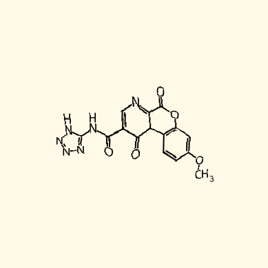 COc1ccc2c(c1)OC(=O)C1=NC=C(C(=O)Nc3nnn[nH]3)C(=O)C12